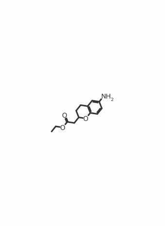 CCOC(=O)CC1CCc2cc(N)ccc2O1